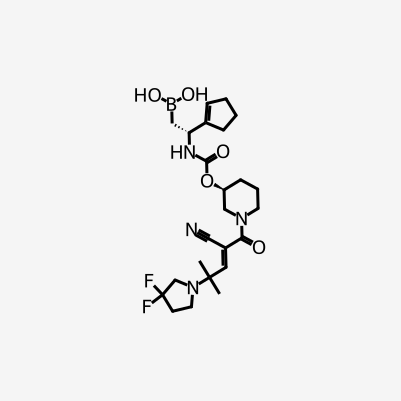 CC(C)(C=C(C#N)C(=O)N1CCC[C@H](OC(=O)N[C@H](CB(O)O)C2=CCCC2)C1)N1CCC(F)(F)C1